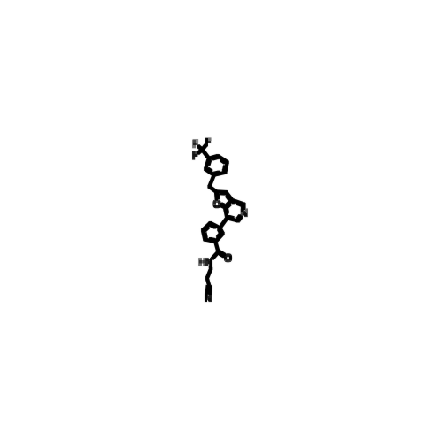 N#CCCNC(=O)c1cccc(-c2cncc3cc(Cc4cccc(C(F)(F)F)c4)oc23)c1